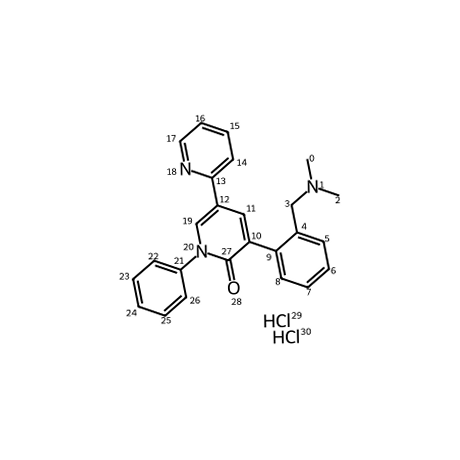 CN(C)Cc1ccccc1-c1cc(-c2ccccn2)cn(-c2ccccc2)c1=O.Cl.Cl